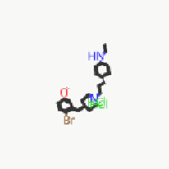 CCN[C@H]1CC[C@@H](CCCN2CCC(Cc3cc(OC)ccc3Br)CC2)CC1.Cl.Cl